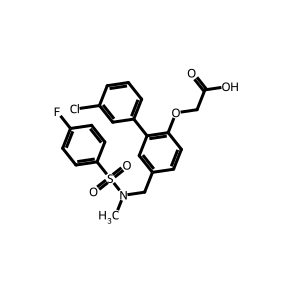 CN(Cc1ccc(OCC(=O)O)c(-c2cccc(Cl)c2)c1)S(=O)(=O)c1ccc(F)cc1